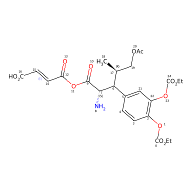 CCOC(=O)Oc1ccc(C([C@H](N)C(=O)OC(=O)/C=C/C(=O)O)[C@@H](C)COC(C)=O)cc1OC(=O)OCC